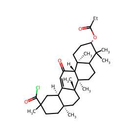 CCC(=O)O[C@H]1CC[C@@]2(C)C(CC[C@]3(C)[C@@H]2C(=O)C=C2[C@@H]4CC(C)(C(=O)Cl)CC[C@]4(C)CC[C@]23C)C1(C)C